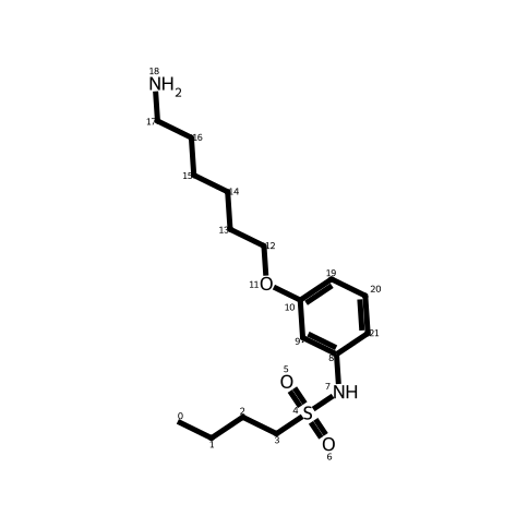 CCCCS(=O)(=O)Nc1[c]c(OCCCCCCN)ccc1